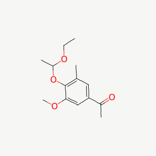 CCOC(C)Oc1c(C)cc(C(C)=O)cc1OC